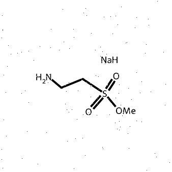 COS(=O)(=O)CCN.[NaH]